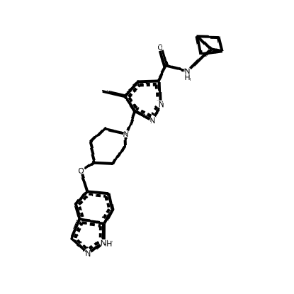 Cc1cc(C(=O)NC2C3CC2C3)nnc1N1CCC(Oc2ccc3[nH]ncc3c2)CC1